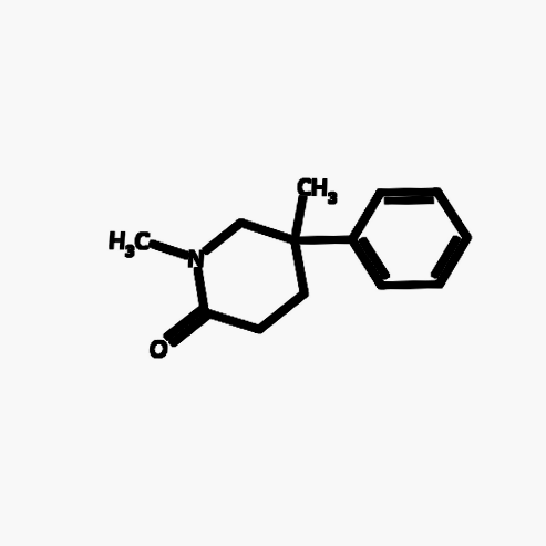 CN1CC(C)(c2ccccc2)CCC1=O